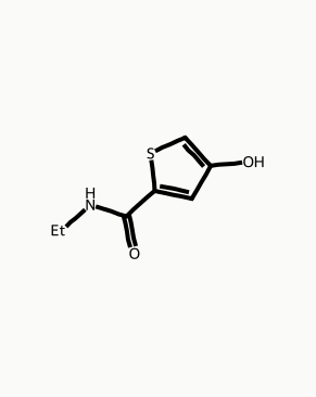 CCNC(=O)c1cc(O)cs1